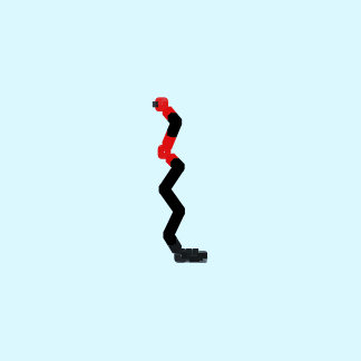 COCCCCOC[O]